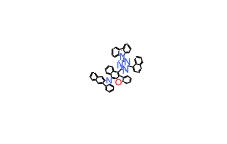 c1ccc2cc3c(cc2c1)c1ccccc1n3-c1c2ccccc2c(-c2nc(-c3cccc4ccccc34)nc(-n3c4ccccc4c4ccccc43)n2)c2c1oc1ccccc12